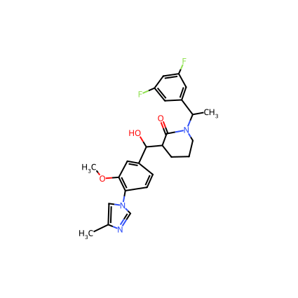 COc1cc(C(O)C2CCCN(C(C)c3cc(F)cc(F)c3)C2=O)ccc1-n1cnc(C)c1